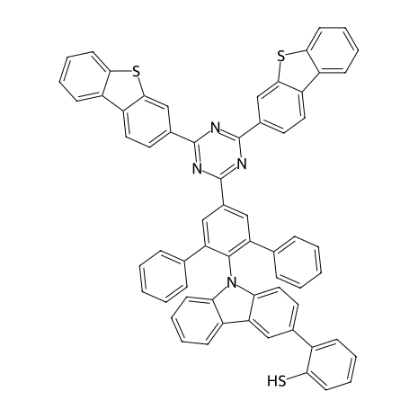 Sc1ccccc1-c1ccc2c(c1)c1ccccc1n2-c1c(-c2ccccc2)cc(-c2nc(-c3ccc4c(c3)sc3ccccc34)nc(-c3ccc4c(c3)sc3ccccc34)n2)cc1-c1ccccc1